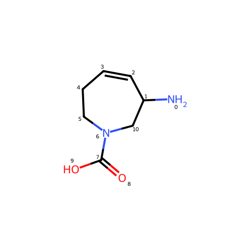 NC1C=CCCN(C(=O)O)C1